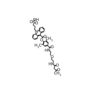 CC(=O)CC(=O)NCCOCCNC(=O)c1cc(C)c(OC(=O)c2c3ccccc3[n+](CCCS(=O)(=O)O)c3ccccc23)c(C)c1